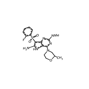 CNc1nc(N2CCOC(C)C2)c2[nH]c(N)c(S(=O)(=O)c3ccccc3F)c2n1